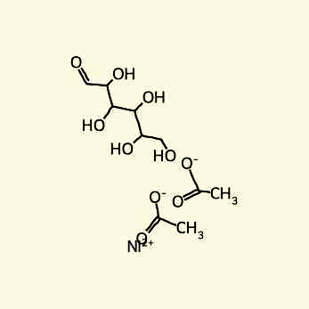 CC(=O)[O-].CC(=O)[O-].O=CC(O)C(O)C(O)C(O)CO.[Ni+2]